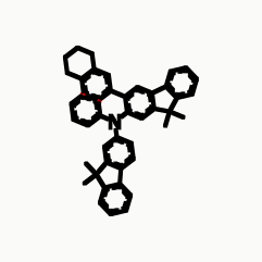 Cc1cc2c(cc1-c1cc3c(cc1N(c1ccccc1)c1ccc4c(c1)C(C)(C)c1ccccc1-4)C(C)(C)c1ccccc1-3)CCCC2